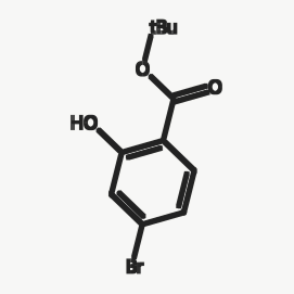 CC(C)(C)OC(=O)c1ccc(Br)cc1O